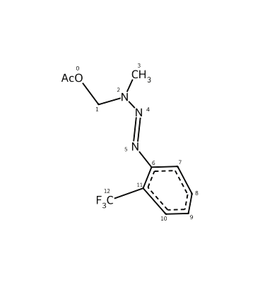 CC(=O)OCN(C)/N=N/c1ccccc1C(F)(F)F